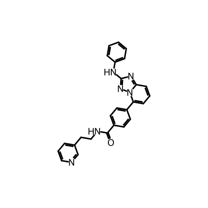 O=C(NCCc1cccnc1)c1ccc(-c2cccc3nc(Nc4ccccc4)nn23)cc1